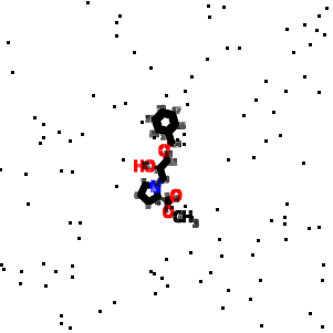 COC(=O)[C@@H]1CCCN1C[C@H](O)COCc1ccccc1